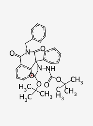 CC(C)(C)OC(=O)NN(C(=O)OC(C)(C)C)C1(c2ccccc2)C(=O)N(Cc2ccccc2)C(=O)c2ccccc21